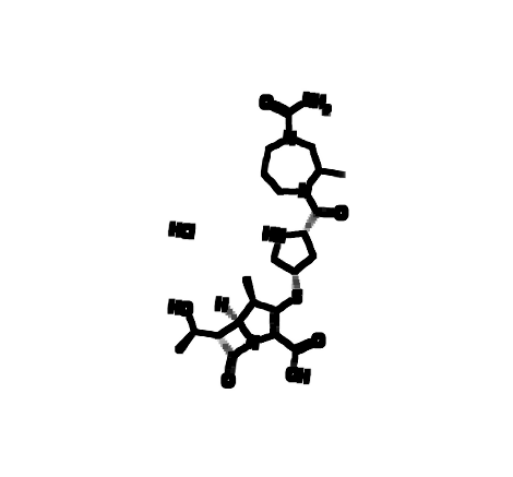 CC1CN(C(N)=O)CCCN1C(=O)[C@@H]1C[C@H](SC2=C(C(=O)O)N3C(=O)[C@H]([C@@H](C)O)[C@H]3[C@H]2C)CN1.Cl